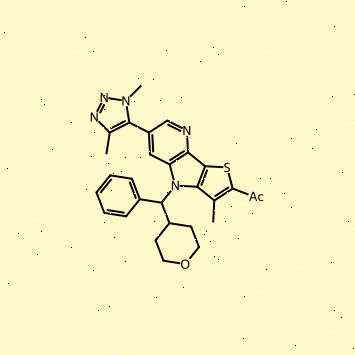 CC(=O)c1sc2c3ncc(-c4c(C)nnn4C)cc3n(C(c3ccccc3)C3CCOCC3)c2c1C